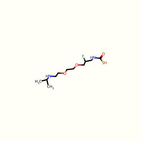 CC(C)NCCOCCOCC(F)CNC(=O)S